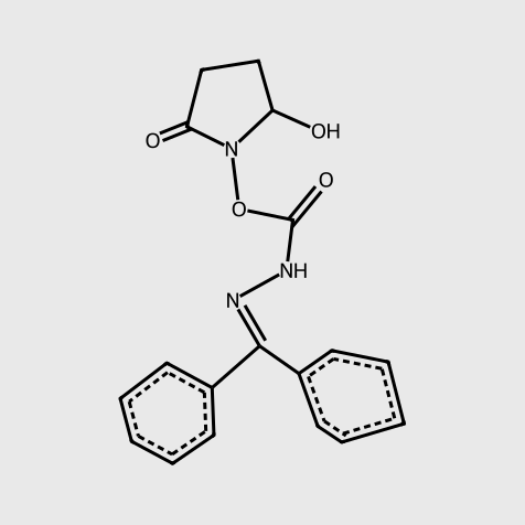 O=C(NN=C(c1ccccc1)c1ccccc1)ON1C(=O)CCC1O